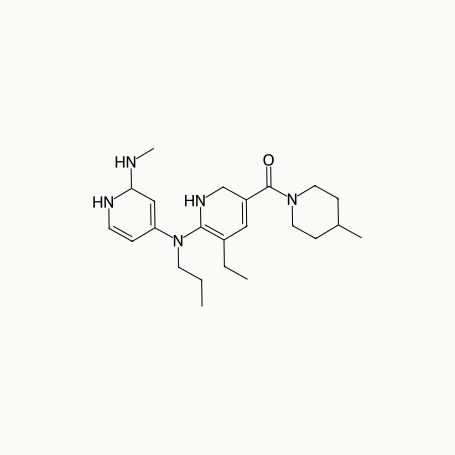 CCCN(C1=CC(NC)NC=C1)C1=C(CC)C=C(C(=O)N2CCC(C)CC2)CN1